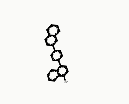 Brc1ccc(-c2ccc(-c3ccc4ccccc4c3)cc2)c2ccccc12